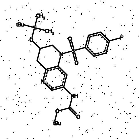 CC(C)(C)OC(=O)Nc1cnc2c(c1)N(S(=O)(=O)c1ccc(F)cc1)CC(O[Si](C)(C)C(C)(C)C)C2